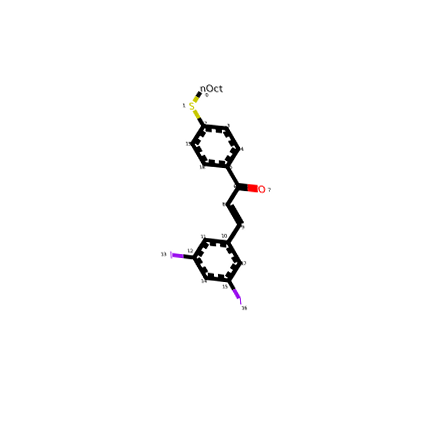 CCCCCCCCSc1ccc(C(=O)/C=C/c2cc(I)cc(I)c2)cc1